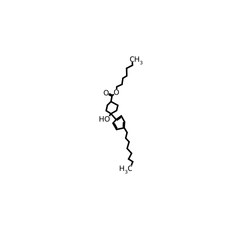 CCCCCCCCc1ccc(C2(O)CCC(C(=O)OCCCCCCC)CC2)cc1